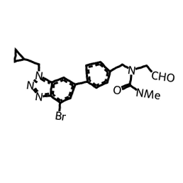 CNC(=O)N(CC=O)Cc1ccc(-c2cc(Br)c3nnn(CC4CC4)c3c2)cc1